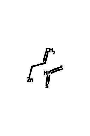 C=C[CH2][Zn].S=[PH]=S